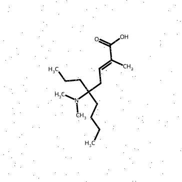 CCCCC(C/C=C(\C)C(=O)O)(CCC)N(C)C